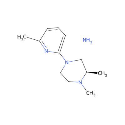 Cc1cccc(N2CCN(C)[C@H](C)C2)n1.N